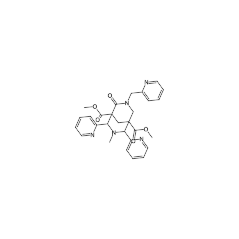 COC(=O)C12CN(Cc3ccccn3)C(=O)C(C(=O)OC)(C1)C(c1ccccn1)N(C)C2c1ccccn1